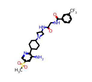 CS(=O)(=O)c1cnc(C2CCC(N3CC(NC(=O)CNC(=O)c4cccc(C(F)(F)F)c4)C3)CC2)c(N)c1